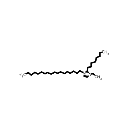 CCCCCCCCCCCCCCCCCCN1C=CN(CC)C1CCCCCCCC